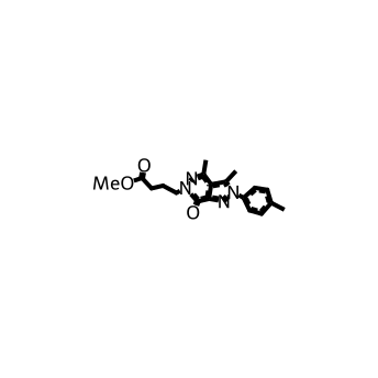 COC(=O)CCCn1nc(C)c2c(C)n(-c3ccc(C)cc3)nc2c1=O